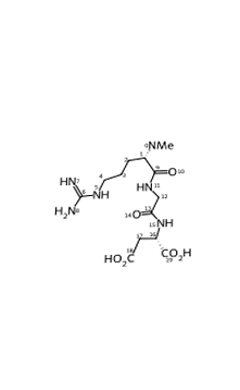 CN[C@@H](CCCNC(=N)N)C(=O)NCC(=O)N[C@@H](CC(=O)O)C(=O)O